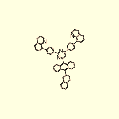 c1ccc2cc(-c3c4ccccc4c(-c4cc(-c5ccc(-c6cccc7cccnc67)cc5)nc(-c5ccc(-c6cccc7cccnc67)cc5)n4)c4ccccc34)ccc2c1